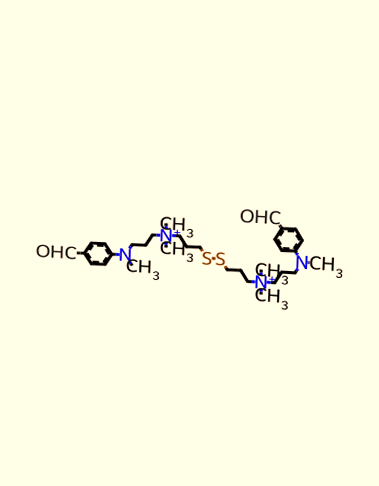 CN(CCC[N+](C)(C)CCCSSCCC[N+](C)(C)CCCN(C)c1ccc(C=O)cc1)c1ccc(C=O)cc1